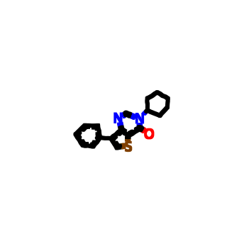 O=c1c2scc(-c3ccccc3)c2ncn1C1CCCCC1